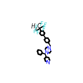 CC(c1ccc(-c2ccc(CN3CCN(C(c4ccccc4)c4ccncc4)CC3)cc2)cc1)(C(F)(F)F)C(F)(F)F